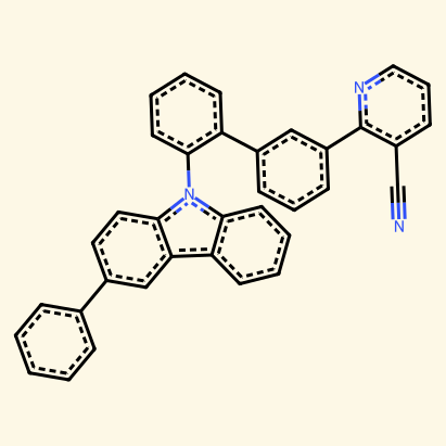 N#Cc1cccnc1-c1cccc(-c2ccccc2-n2c3ccccc3c3cc(-c4ccccc4)ccc32)c1